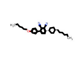 CCCCCCOc1ccc(-c2ccc([C@H]3CC[C@H](CCCCCC)CC3)c(C#N)c2C#N)cc1